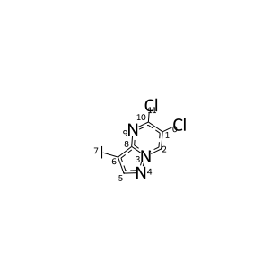 Clc1cn2ncc(I)c2nc1Cl